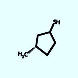 C[C@H]1CCC(S)C1